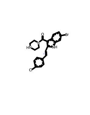 O=C(c1c(/C=C/c2ccc(Cl)cc2)[nH]c2cc(Br)ccc12)N1CCNCC1